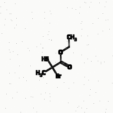 CCOC(=O)C(C)(S)Br